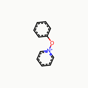 c1ccc(O[n+]2ccccc2)cc1